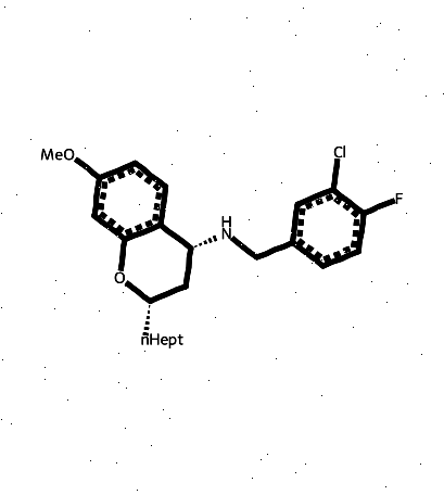 CCCCCCC[C@H]1C[C@@H](NCc2ccc(F)c(Cl)c2)c2ccc(OC)cc2O1